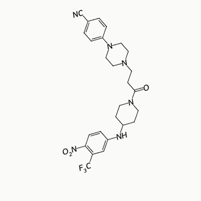 N#Cc1ccc(N2CCN(CCC(=O)N3CCC(Nc4ccc([N+](=O)[O-])c(C(F)(F)F)c4)CC3)CC2)cc1